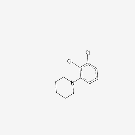 Clc1cc[c]c(N2CCCCC2)c1Cl